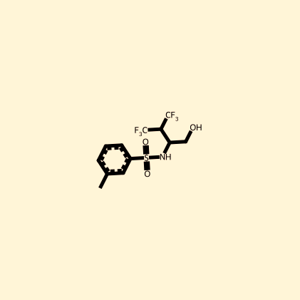 Cc1cccc(S(=O)(=O)NC(CO)C(C(F)(F)F)C(F)(F)F)c1